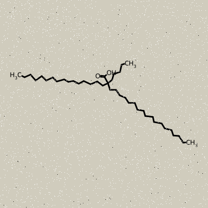 CCCCCCCCCCCCCCCCCCC(CCCCC)(CCCCCCCCCCCCCCCC)C(=O)O